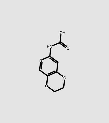 O=C(O)Nc1cc2c(cn1)OCCO2